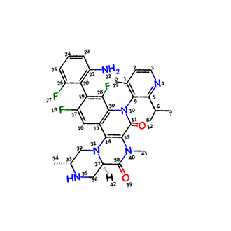 Cc1ccnc(C(C)C)c1-n1c(=O)c2c(c3cc(F)c(-c4c(N)cccc4F)c(F)c31)N1C[C@@H](C)NC[C@@H]1C(=O)N2C